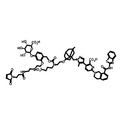 Cc1c(-c2ccc(N3CCc4cccc(C(=O)Nc5nc6ccccc6s5)c4C3)nc2C(=O)O)cnn1CC12CC3CC(C)(C1)CC(OCCN(CCCS(=O)(=O)O)C(=O)OCc1ccc(O[C@@H]4O[C@H](C(=O)O)[C@@H](O)[C@H](O)[C@H]4O)cc1OCCOCCNC(=O)CCN1C(=O)C=CC1=O)(C3)C2